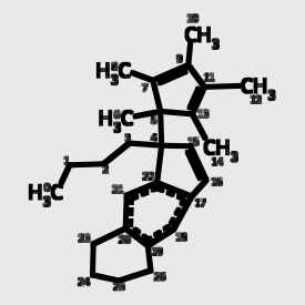 CCCCC1(C2(C)C(C)=C(C)C(C)=C2C)C=Cc2cc3c(cc21)CCCC3